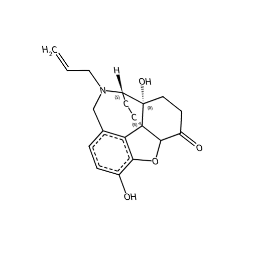 C=CCN1Cc2ccc(O)c3c2[C@@]24CC[C@H]1[C@@]2(O)CCC(=O)C4O3